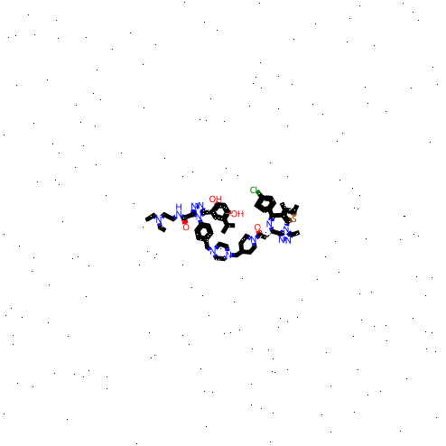 CCN(CC)CCNC(=O)c1nnc(-c2cc(C(C)C)c(O)cc2O)n1-c1ccc(CN2CCN(CC3CCN(C(=O)C[C@@H]4N=C(c5ccc(Cl)cc5)c5c(sc(C)c5C)-n5c(C)nnc54)CC3)CC2)cc1